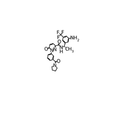 C[C@@H](NC(=O)c1ccc(=O)n(-c2cccc(C(=O)N3CCCC3)c2)n1)c1cc(N)cc(C(F)(F)F)c1